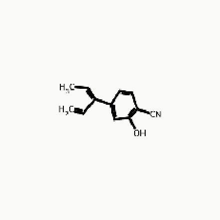 C=C/C(=C\C)c1ccc(C#N)c(O)c1